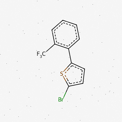 FC(F)(F)c1ccccc1-c1ccc(Br)s1